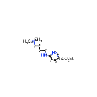 CCOC(=O)c1ccc(NCCCCN(C)C)nn1